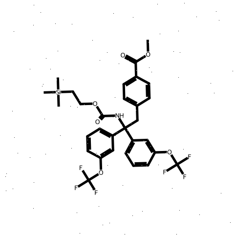 COC(=O)c1ccc(CC(NC(=O)OCC[Si](C)(C)C)(c2cccc(OC(F)(F)F)c2)c2cccc(OC(F)(F)F)c2)cc1